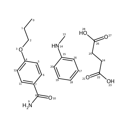 CCCOc1ccc(C(N)=O)cc1.CNc1ccccc1.O=C(O)CCC(=O)O